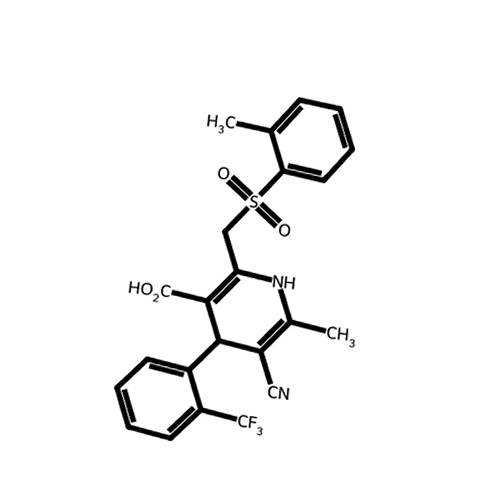 CC1=C(C#N)C(c2ccccc2C(F)(F)F)C(C(=O)O)=C(CS(=O)(=O)c2ccccc2C)N1